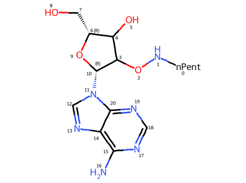 CCCCCNOC1C(O)[C@@H](CO)O[C@H]1n1cnc2c(N)ncnc21